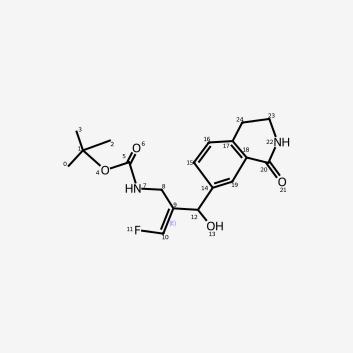 CC(C)(C)OC(=O)NC/C(=C\F)C(O)c1ccc2c(c1)C(=O)NCC2